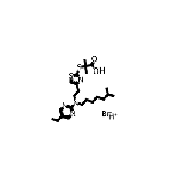 CCc1cnc(N(CCCCCC(C)C)CCc2csc(SC(C)(C)C(=O)O)n2)nc1.[Br-].[H+]